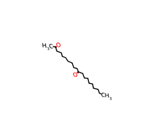 CCCCCCCCCC(=O)CCCCCCCCC(C)=O